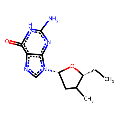 CC[C@H]1O[C@@H](n2cnc3c(=O)[nH]c(N)nc32)CC1C